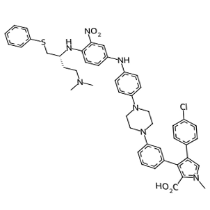 CN(C)CC[C@H](CSc1ccccc1)Nc1ccc(Nc2ccc(N3CCN(c4cccc(-c5c(-c6ccc(Cl)cc6)cn(C)c5C(=O)O)c4)CC3)cc2)cc1[N+](=O)[O-]